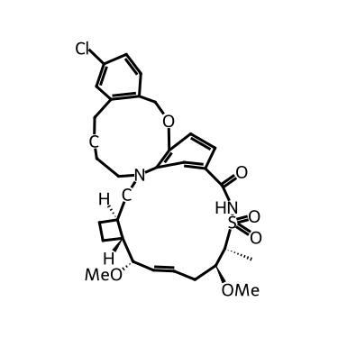 CO[C@H]1/C=C/C[C@H](OC)[C@@H](C)S(=O)(=O)NC(=O)c2ccc3c(c2)N(CCCCc2cc(Cl)ccc2CO3)C[C@@H]2CC[C@H]21